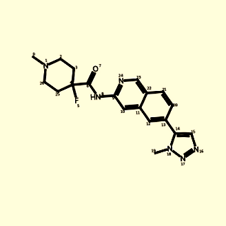 CN1CCC(F)(C(=O)Nc2cc3cc(-c4cnnn4C)ccc3cn2)CC1